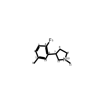 Cc1ccc(F)c(C2CCN(C)C2)c1